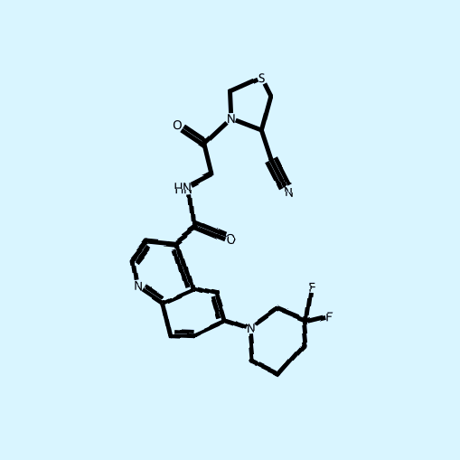 N#CC1CSCN1C(=O)CNC(=O)c1ccnc2ccc(N3CCCC(F)(F)C3)cc12